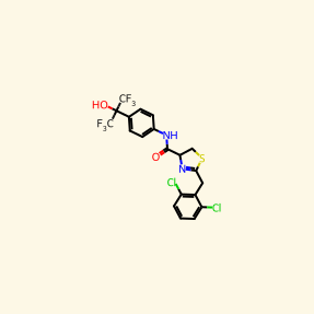 O=C(Nc1ccc(C(O)(C(F)(F)F)C(F)(F)F)cc1)C1CSC(Cc2c(Cl)cccc2Cl)=N1